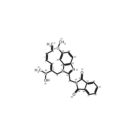 C=C/C=C\C=C(\Cn1c(CN2C(=O)c3ccccc3C2=O)nc2ccc(OC)cc21)N(C)O